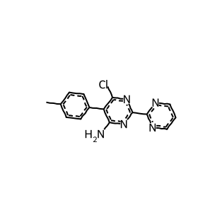 Cc1ccc(-c2c(N)nc(-c3ncccn3)nc2Cl)cc1